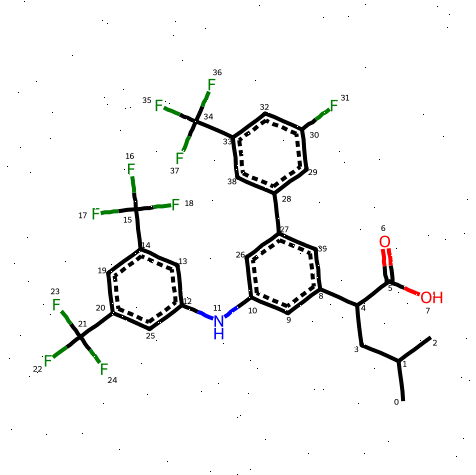 CC(C)CC(C(=O)O)c1cc(Nc2cc(C(F)(F)F)cc(C(F)(F)F)c2)cc(-c2cc(F)cc(C(F)(F)F)c2)c1